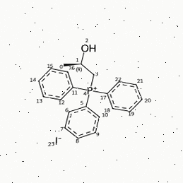 C[C@@H](O)C[P+](c1ccccc1)(c1ccccc1)c1ccccc1.[I-]